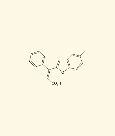 Cc1ccc2oc(/C(=C\C(=O)O)c3ccccc3)cc2c1